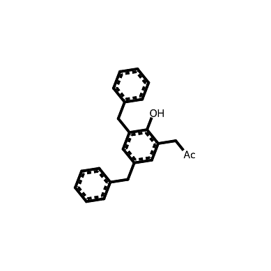 CC(=O)Cc1cc(Cc2ccccc2)cc(Cc2ccccc2)c1O